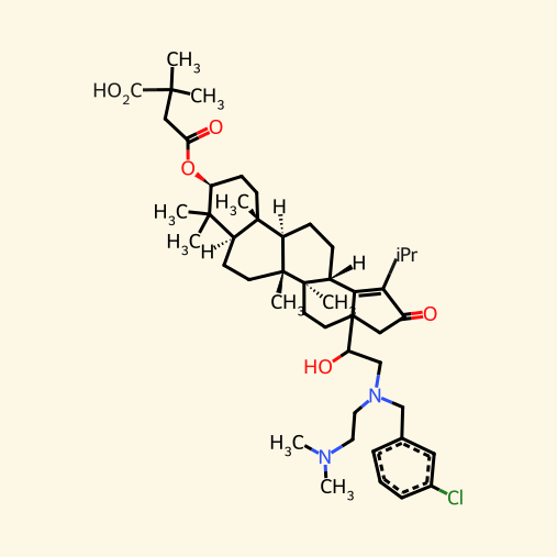 CC(C)C1=C2[C@H]3CC[C@@H]4[C@@]5(C)CC[C@H](OC(=O)CC(C)(C)C(=O)O)C(C)(C)[C@@H]5CC[C@@]4(C)[C@]3(C)CCC2(C(O)CN(CCN(C)C)Cc2cccc(Cl)c2)CC1=O